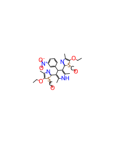 CCOC1=C(C)N=C(C2=C(C)NC(C)=C(C3=NC(C)=C(OCC)S3=C=O)C2c2cccc([N+](=O)[O-])c2)S1=C=O